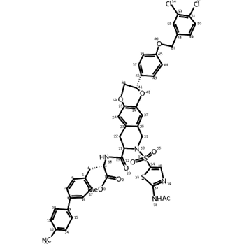 COC(=O)[C@H](Cc1ccc(-c2ccc(C#N)cc2)cc1)NC(=O)C1Cc2cc3c(cc2CN1S(=O)(=O)c1cnc(NC(C)=O)s1)O[C@@H](c1ccc(OCc2ccc(Cl)c(Cl)c2)cc1)CO3